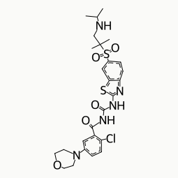 CC(C)NCC(C)(C)S(=O)(=O)c1ccc2nc(NC(=O)NC(=O)c3cc(N4CCOCC4)ccc3Cl)sc2c1